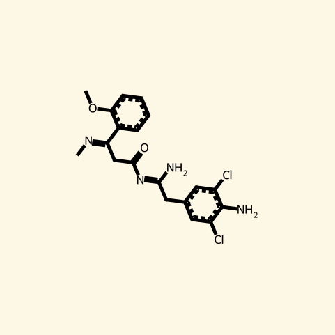 C/N=C(\CC(=O)/N=C(\N)Cc1cc(Cl)c(N)c(Cl)c1)c1ccccc1OC